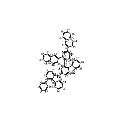 c1ccc(-c2cccc3c2c2ccccc2n3-c2ccc3c(c2)oc2cccc(C4=NC(c5ccc6ccccc6c5)=NC(c5ccc6ccccc6c5)N4)c23)cc1